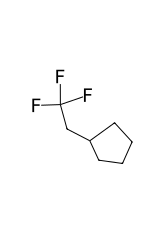 FC(F)(F)CC1CCCC1